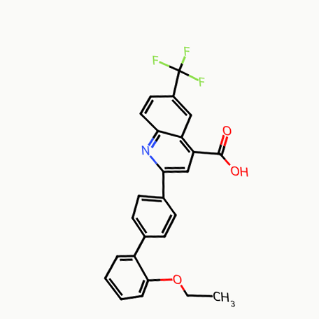 CCOc1ccccc1-c1ccc(-c2cc(C(=O)O)c3cc(C(F)(F)F)ccc3n2)cc1